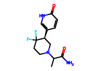 CC(C(N)=O)N1CCC(F)(F)[C@@H](c2ccc(=O)[nH]c2)C1